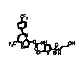 O=C(Nc1cc(S(=O)(=O)NCCO)sc1Cl)Oc1cnn2c(C(F)(F)F)cc(-c3ccc(C(F)(F)F)cc3)nc12